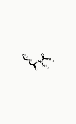 NC(=O)N(N)OC(=O)CNCP